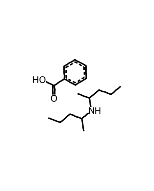 CCCC(C)NC(C)CCC.O=C(O)c1ccccc1